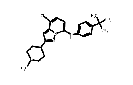 CN1CCC(c2cc3c(Cl)ccc(Nc4ccc(C(C)(C)C)cc4)n3n2)CC1